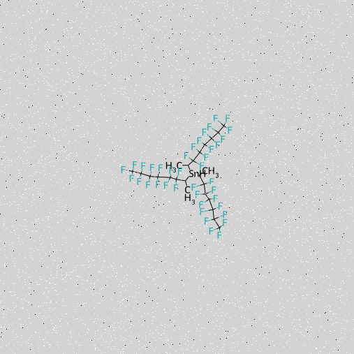 C[CH]([SnH]([CH](C)C(F)(F)C(F)(F)C(F)(F)C(F)(F)C(F)(F)C(F)(F)F)[CH](C)C(F)(F)C(F)(F)C(F)(F)C(F)(F)C(F)(F)C(F)(F)F)C(F)(F)C(F)(F)C(F)(F)C(F)(F)C(F)(F)C(F)(F)F